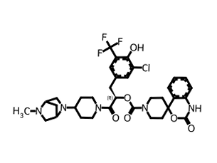 CN1CC2CC1CN2C1CCN(C(=O)[C@@H](Cc2cc(Cl)c(O)c(C(F)(F)F)c2)OC(=O)N2CCC3(CC2)OC(=O)Nc2ccccc23)CC1